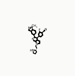 Cn1ncc2cc(-c3ncc4c(ccn4CC[C@@H]4CCCN4)c3-c3ccc(C#N)c(F)c3)ccc21